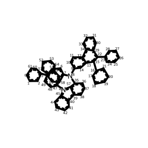 c1ccc(-c2ccc(N(c3ccc4c(c3)c(-c3ccccc3)c(-c3ccccc3)c3ccccc34)c3cccc4c5ccccc5n(-c5ccc6ccccc6c5)c34)cc2)cc1